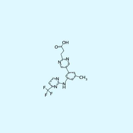 Cc1cc(Nc2nccc(C(F)(F)F)n2)cc(-c2cnc(CCC(=O)O)nc2)c1